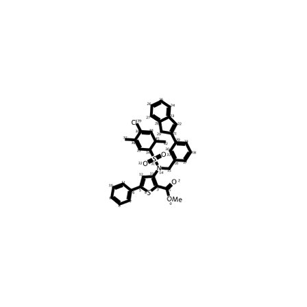 COC(=O)c1sc(-c2ccccc2)cc1N(Cc1cccc(C2=Cc3ccccc3C2)c1)S(=O)(=O)C1C=C(C)C(Cl)=CC1C